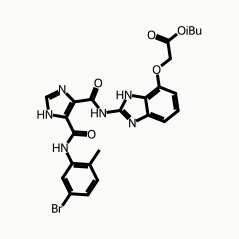 Cc1ccc(Br)cc1NC(=O)c1[nH]cnc1C(=O)Nc1nc2cccc(OCC(=O)OCC(C)C)c2[nH]1